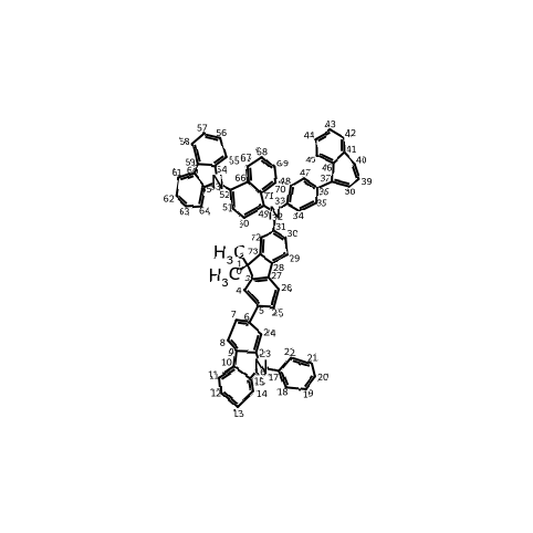 CC1(C)c2cc(-c3ccc4c5ccccc5n(-c5ccccc5)c4c3)ccc2-c2ccc(N(c3ccc(-c4cccc5ccccc45)cc3)c3ccc(-n4c5ccccc5c5ccccc54)c4ccccc34)cc21